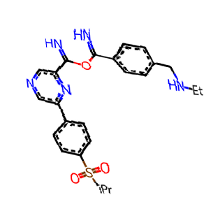 CCNCc1ccc(C(=N)OC(=N)c2cncc(-c3ccc(S(=O)(=O)C(C)C)cc3)n2)cc1